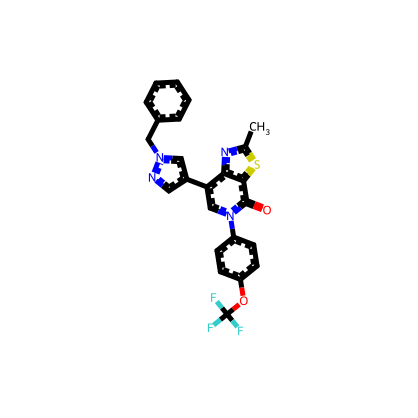 Cc1nc2c(-c3cnn(Cc4ccccc4)c3)cn(-c3ccc(OC(F)(F)F)cc3)c(=O)c2s1